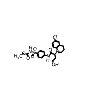 COC(=O)NS(=O)(=O)c1ccc(NC(=O)C(CCO)N2CCCc3cc(Cl)ccc32)cc1